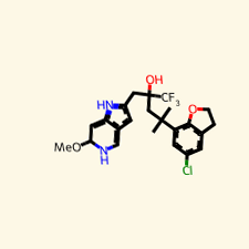 COC1C=c2[nH]c(CC(O)(CC(C)(C)c3cc(Cl)cc4c3OCC4)C(F)(F)F)cc2=CN1